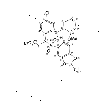 CCOC(=O)CN(c1ccc(Cl)cc1C(O)c1ccccc1OC)S(=O)(=O)c1ccc2c(c1)OC(C)O2